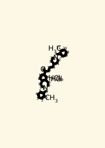 Cc1ccccc1CN1CCc2ccc(C(=O)CCCC3CCN(Cc4ccccc4C)CC3)cc2CC1.Cl.Cl